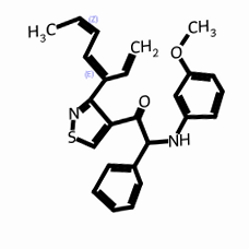 C=C/C(=C\C=C/C)c1nscc1C(=O)C(Nc1cccc(OC)c1)c1ccccc1